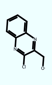 [O]Cc1nc2ccccc2nc1Cl